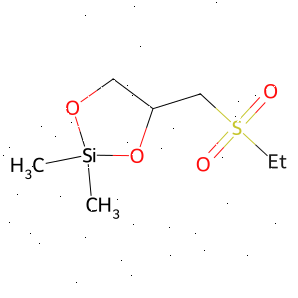 CCS(=O)(=O)CC1CO[Si](C)(C)O1